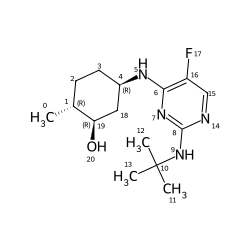 C[C@@H]1CC[C@@H](Nc2nc(NC(C)(C)C)ncc2F)C[C@H]1O